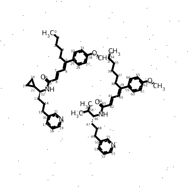 CCCCC/C(=C\C=C\C(=O)N[C@@H](CCCc1cccnc1)C1CC1)c1ccc(OC)cc1.CCCCCC/C(=C\C=C\C(=O)N[C@H](CCCc1cccnc1)C(C)C)c1ccc(OC)cc1